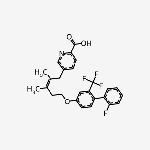 CC(CCOc1ccc(-c2ccccc2F)c(C(F)(F)F)c1)=C(C)Cc1ccc(C(=O)O)nc1